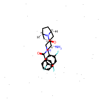 N[C@H](Cc1cc(F)c(F)cc1F)[C@@H]1C[C@H]2CC[C@@H](C1)N2C(=O)CNC(=O)c1ccccc1